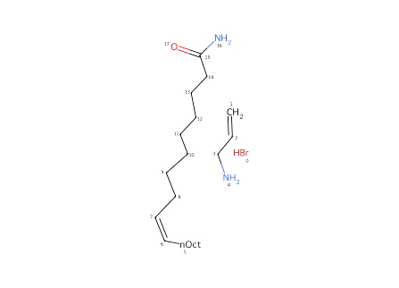 Br.C=CCN.CCCCCCCC/C=C\CCCCCCCC(N)=O